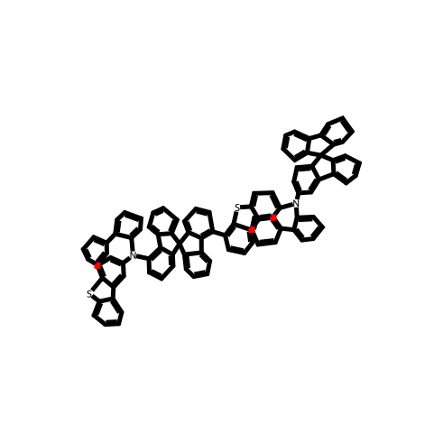 c1ccc(-c2ccccc2N(c2ccc3c(c2)-c2ccccc2C32c3ccccc3-c3ccccc32)c2ccc3sc4c(-c5cccc6c5-c5ccccc5C65c6ccccc6-c6c(N(c7ccc8sc9ccccc9c8c7)c7ccccc7-c7ccccc7)cccc65)cccc4c3c2)cc1